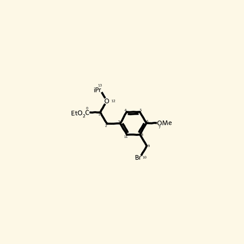 CCOC(=O)C(Cc1ccc(OC)c(CBr)c1)OC(C)C